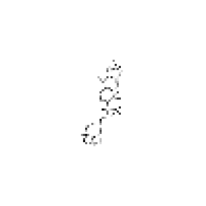 Cc1c2c(cc3c1OC(C)(C)O3)[C@]1(C)CCC(C)(C)[C@](C)(CC[C@]3(C)CC[C@](C)(C(=O)O)CC3)C1=CC2